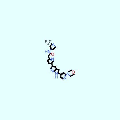 O=C(Cc1ccc(-c2cnc3[nH]c(-c4ccnc(N5CCOCC5)c4)cc3c2)cn1)Nc1ccnc(C(F)(F)F)c1